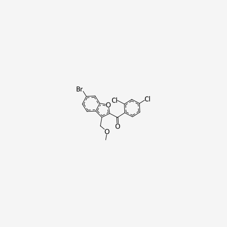 COCc1c(C(=O)c2ccc(Cl)cc2Cl)oc2cc(Br)ccc12